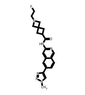 Cn1cc(-c2ccc3cnc(NC(=O)C4CC5(C4)CN(CCF)C5)cc3c2)nn1